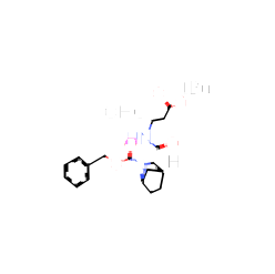 CC(C)(C)OC(=O)C[C@@H](C=O)NC(=O)[C@@H]1[C@H]2CCC(C2)N1C(=O)OCc1ccccc1